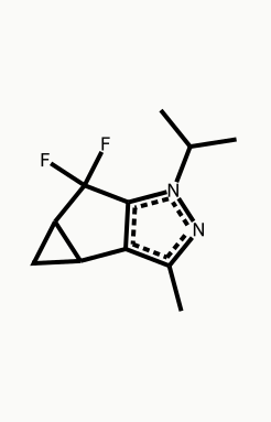 Cc1nn(C(C)C)c2c1C1CC1C2(F)F